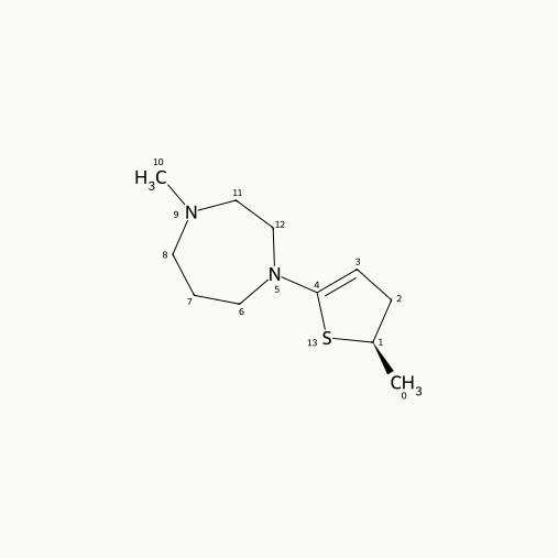 C[C@@H]1CC=C(N2CCCN(C)CC2)S1